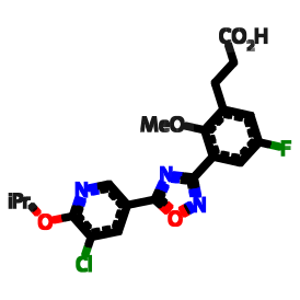 COc1c(CCC(=O)O)cc(F)cc1-c1noc(-c2cnc(OC(C)C)c(Cl)c2)n1